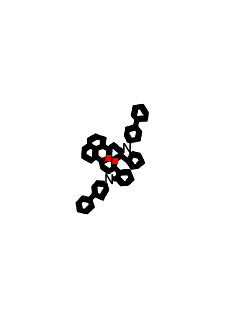 c1ccc(-c2ccc(-n3c4ccccc4c4ccc(-c5cccc6cccc(-c7ccc8c9ccccc9n(-c9ccc(-c%10ccccc%10)cc9)c8c7)c56)cc43)cc2)cc1